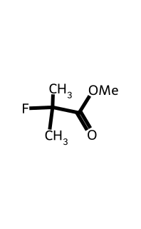 COC(=O)C(C)(C)F